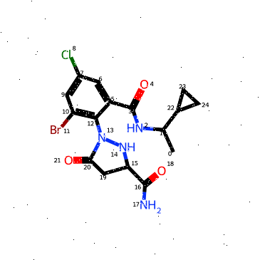 CC(NC(=O)c1cc(Cl)cc(Br)c1N1NC(C(N)=O)CC1=O)C1CC1